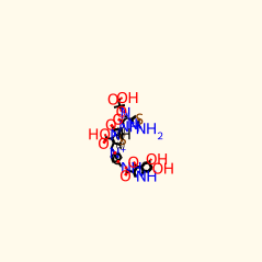 C[C@@H]1S[C@@H]2[C@H](NC(=O)/C(=N\OC(C)(C)C(=O)O)c3csc(N)n3)C(=O)N2C(C(=O)O)=C1C[N+]12CCC(CNC(=O)c3c[nH]c4cc(O)c(O)cc4c3=O)(CC1)CC2